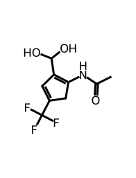 CC(=O)NC1=C(C(O)O)C=C(C(F)(F)F)C1